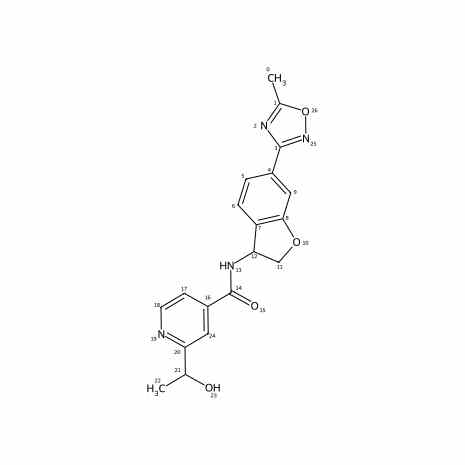 Cc1nc(-c2ccc3c(c2)OCC3NC(=O)c2ccnc(C(C)O)c2)no1